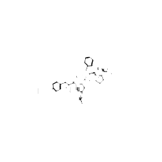 CC(=O)OC1C[C@@H](C(=O)N(C)[C@@H](Cc2ccccc2)C(=O)N2CCC[C@@H]2C(N)=O)N(C(=O)[C@@H](N)Cc2ccc(O)cc2)C1